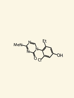 CCc1cc(O)cc(Cl)c1-n1cnc(NC)nc1=O